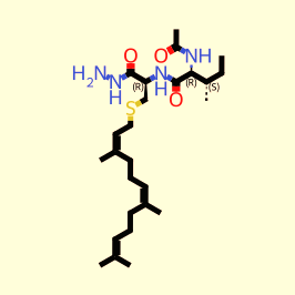 CC[C@H](C)[C@@H](NC(C)=O)C(=O)N[C@@H](CSCC=C(C)CCC=C(C)CCC=C(C)C)C(=O)NN